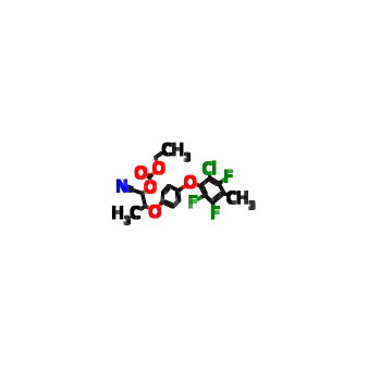 CCOC(=O)OC(C#N)C(C)Oc1ccc(Oc2c(F)c(F)c(C)c(F)c2Cl)cc1